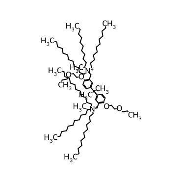 CCCCCCCCCCCC[N+](CCCCCCCCCCCC)(Cc1cc(C(C)(C)c2ccc(OCCOCCC)c(C[N+](CCCCCCCCCCCC)(CCCCCCCCCCCC)C(C)CCCCCCCCCC)c2)ccc1OCCOCCC)C(C)CCCCCCCCCC